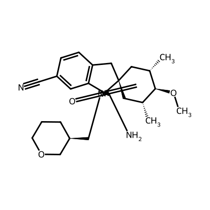 CO[C@H]1[C@H](C)C[C@@]2(Cc3ccc(C#N)cc3[C@]23N=C(N)N(C[C@@H]2CCCOC2)C3=O)C[C@@H]1C